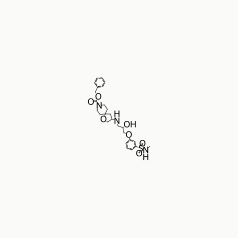 CNS(=O)(=O)c1cccc(OCC(O)CNC2COC3(CCN(C(=O)OCc4ccccc4)CC3)C2)c1